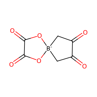 O=C1C[B-]2(CC1=O)OC(=O)C(=O)O2